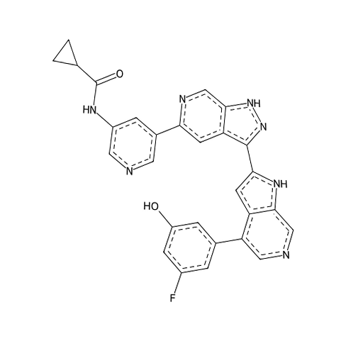 O=C(Nc1cncc(-c2cc3c(-c4cc5c(-c6cc(O)cc(F)c6)cncc5[nH]4)n[nH]c3cn2)c1)C1CC1